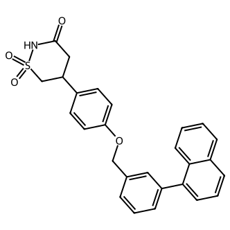 O=C1CC(c2ccc(OCc3cccc(-c4cccc5ccccc45)c3)cc2)CS(=O)(=O)N1